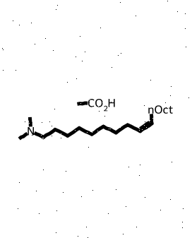 CC(=O)O.CCCCCCCC/C=C\CCCCCCCCN(C)C